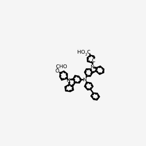 O=COc1ccc(-n2c3ccccc3c3cc(N(c4ccc(-c5ccccc5)cc4)c4ccc5c(c4)c4ccccc4n5-c4ccc(C(=O)O)cc4)ccc32)cc1